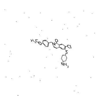 COc1ccc(Cn2ccc3cc(SC4CCC(N)CC4)c(Cl)cc3c2=O)cc1